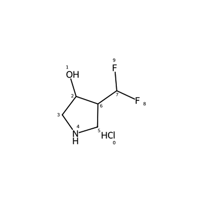 Cl.OC1CNCC1C(F)F